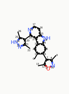 Cc1cc2c(cc1-c1c(C)noc1C)[nH]c1ccnc(-c3c(C)n[nH]c3C)c12